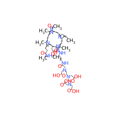 CC[C@@H]1Cc2cc3[nH]c(cc4nc(c(CC(=O)OC)c5[nH]c(cc1n2)c(C)c5C(=O)NCCCNC(=O)CN(CCN(CCN(CC(=O)O)CC(=O)O)CC(=O)O)CC(=O)O)[C@@H](CCC(=O)NC)C4C)c(C)c3C(C)=O